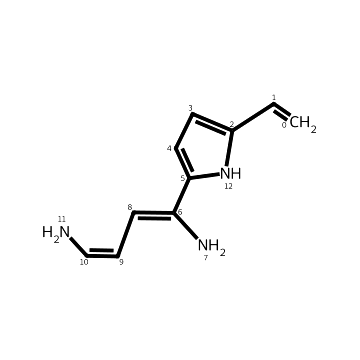 C=Cc1ccc(/C(N)=C/C=C\N)[nH]1